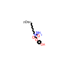 CCCCCCCCCCCCCCCCCCN(C(N)=O)C(=O)COc1ccc(O)cc1